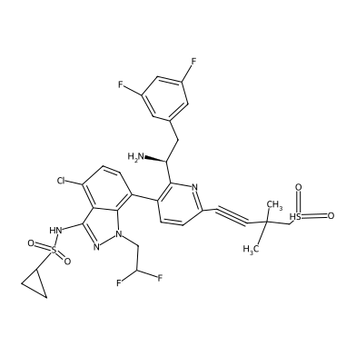 CC(C)(C#Cc1ccc(-c2ccc(Cl)c3c(NS(=O)(=O)C4CC4)nn(CC(F)F)c23)c([C@@H](N)Cc2cc(F)cc(F)c2)n1)C[SH](=O)=O